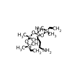 C=C[Si](C)(C)O[Si](C)(C)O[Si](C)(CCCN)O[Si](C)(C)C=C